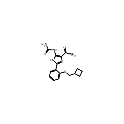 NC(=O)Nc1[nH]c(-c2ccccc2OCC2CCC2)cc1C(N)=O